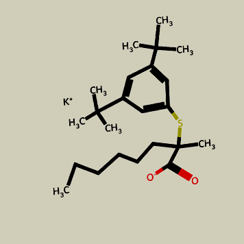 CCCCCCC(C)(Sc1cc(C(C)(C)C)cc(C(C)(C)C)c1)C(=O)[O-].[K+]